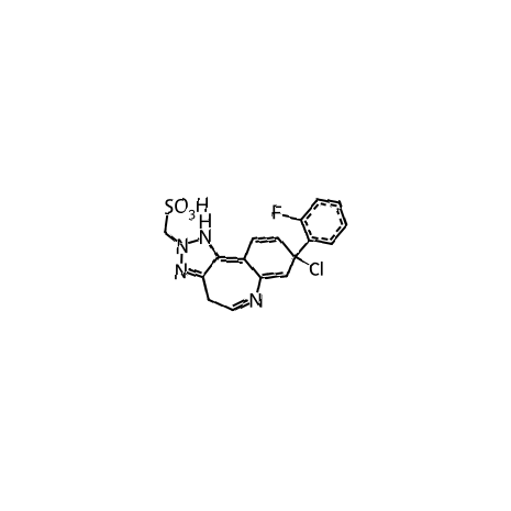 O=S(=O)(O)CN1N=C2CC=NC3=CC(Cl)(c4ccccc4F)C=CC3=C2N1